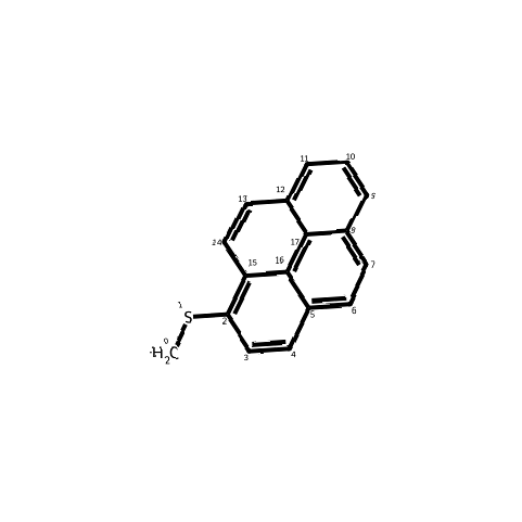 [CH2]Sc1ccc2ccc3cccc4ccc1c2c34